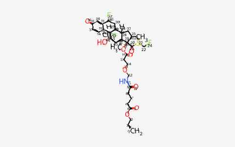 C=CCOC(=O)CCCC(=O)NCOCCC(=O)O[C@]1(C(=O)SCF)[C@H](C)C[C@H]2[C@@H]3C[C@H](F)C4=CC(=O)C=C[C@]4(C)[C@@]3(F)[C@@H](O)C[C@@]21C